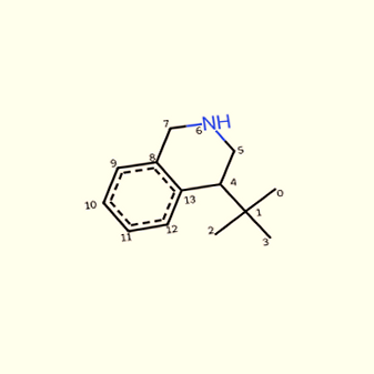 CC(C)(C)C1CNCc2ccccc21